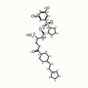 O=C(O)[C@H](CCC(=O)N1CCC(CCN2CCCC2)CC1)NC(=O)[C@H]1CCCN1S(=O)(=O)c1cc(Cl)cc(Cl)c1